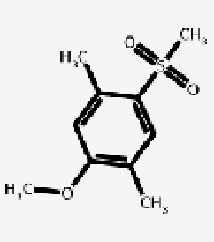 COc1cc(C)c(S(C)(=O)=O)cc1C